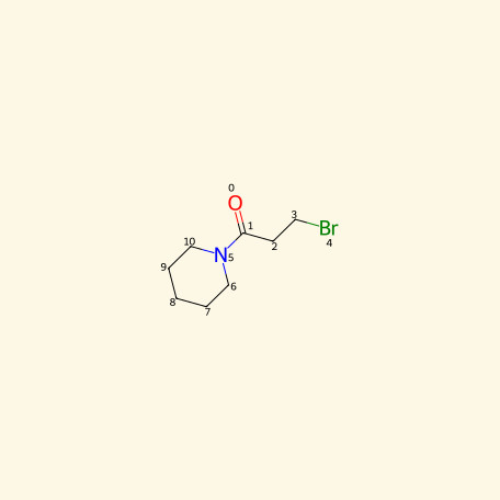 O=C(CCBr)N1CCCCC1